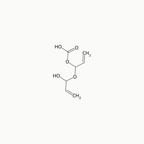 C=CC(O)OC(C=C)OC(=O)O